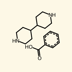 C1CC(C2CCNCC2)CCN1.O=C(O)c1ccccc1